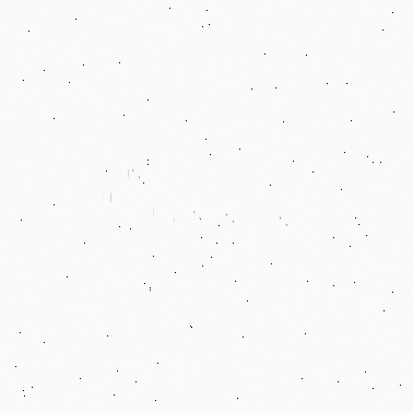 Cn1c(=O)n(C2CCC(=O)NC2=O)c2cccc([C@H]3CCNC(C)(C)C3)c21